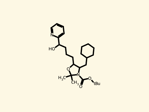 CC(C)(C)OC(=O)N1C(CC2CCCCC2)C(CCCC(O)c2ccccn2)OC1(C)C